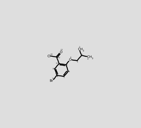 CC(C)COc1ccc(Br)cc1C(=O)Cl